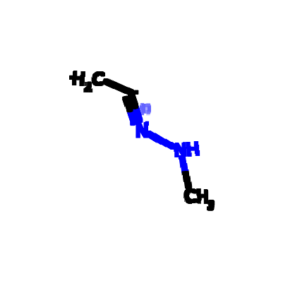 [CH2]/[C]=N/NC